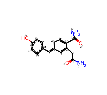 NC(=O)CC1=CC(=Cc2ccc(O)cc2)CC=C1C(N)=O